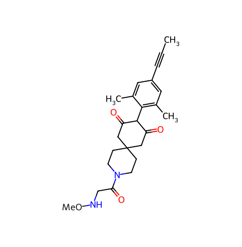 CC#Cc1cc(C)c(C2C(=O)CC3(CCN(C(=O)CNOC)CC3)CC2=O)c(C)c1